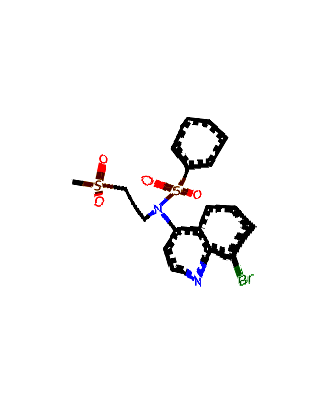 CS(=O)(=O)CCN(c1ccnc2c(Br)cccc12)S(=O)(=O)c1ccccc1